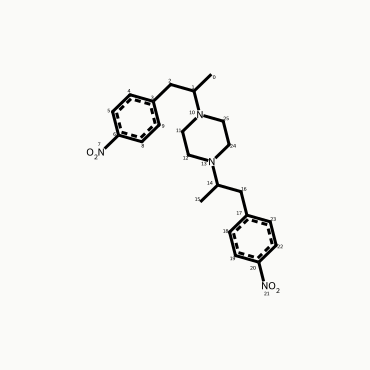 CC(Cc1ccc([N+](=O)[O-])cc1)N1CCN(C(C)Cc2ccc([N+](=O)[O-])cc2)CC1